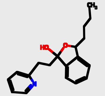 CCCCC1OC(O)(CCc2ccccn2)c2ccccc21